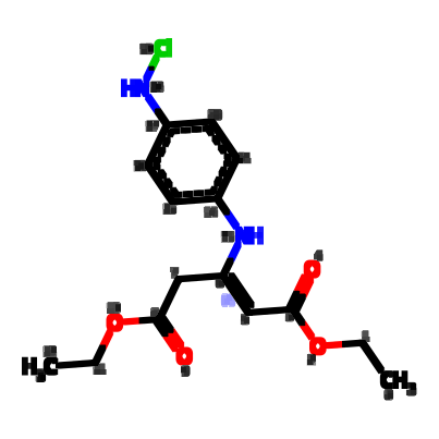 CCOC(=O)/C=C(/CC(=O)OCC)Nc1ccc(NCl)cc1